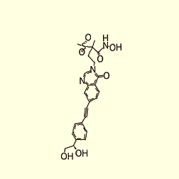 CC(CCn1cnc2cc(C#Cc3ccc([C@@H](O)CO)cc3)ccc2c1=O)(C(=O)NO)S(C)(=O)=O